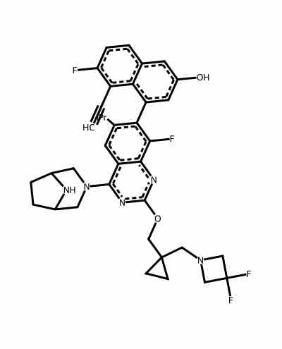 C#Cc1c(F)ccc2cc(O)cc(-c3c(C(C)C)cc4c(N5CC6CCC(C5)N6)nc(OCC5(CN6CC(F)(F)C6)CC5)nc4c3F)c12